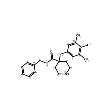 Cc1cc(NC2(C(=O)NCc3ccccc3)CCNCC2)cc(C)c1F